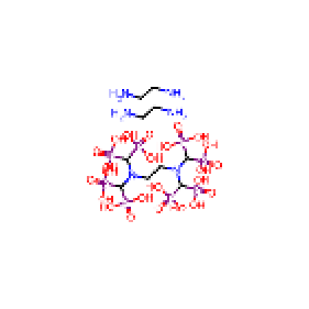 NCCN.NCCN.O=P(O)(O)C(N(CCN(C(P(=O)(O)O)P(=O)(O)O)C(P(=O)(O)O)P(=O)(O)O)C(P(=O)(O)O)P(=O)(O)O)P(=O)(O)O